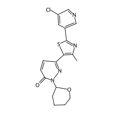 Cc1nc(-c2cncc(Cl)c2)sc1-c1ccc(=O)n(C2CCCCO2)n1